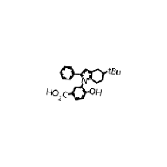 CC(C)(C)C1CCc2c(cc(-c3ccccc3)n2-c2cc(C(=O)O)ccc2O)C1